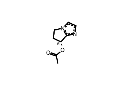 CC(=O)O[C@@H]1CCn2ccnc21